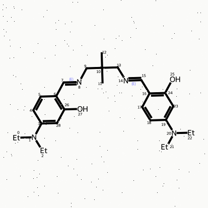 CCN(CC)c1ccc(/C=N/CC(C)(C)C/N=C/c2ccc(N(CC)CC)cc2O)c(O)c1